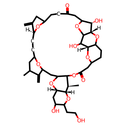 C=C1C(C)CC2CC[C@@H]3OC(CCC(=O)CC4OC5C(O)[C@H]6OC(CCC6O[C@H]5[C@H]4O)CC(=O)OC4C(CC1O2)O[C@H]1CC(O)C(CCO)O[C@H]1[C@@H]4C)CC3=C